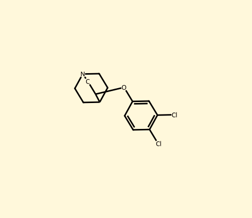 Clc1ccc(OC2CN3CCC2CC3)cc1Cl